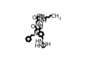 CCCCOC(=O)NC(CNC(=O)c1cn(CCc2ccccc2)c2cc(CNC3NCCN3)ccc2c1=O)C(=O)O